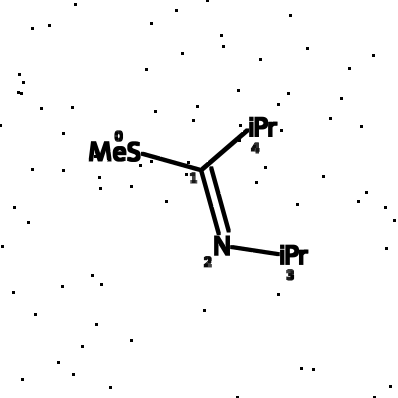 CS/C(=N/C(C)C)C(C)C